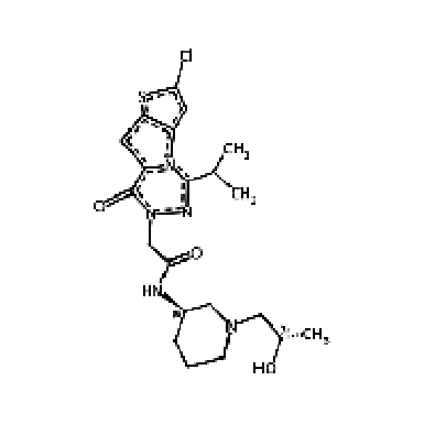 CC(C)c1nn(CC(=O)N[C@@H]2CCCN(C[C@H](C)O)C2)c(=O)c2cc3sc(Cl)cc3n12